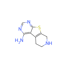 Nc1ncnc2sc3c(c12)CCNC3